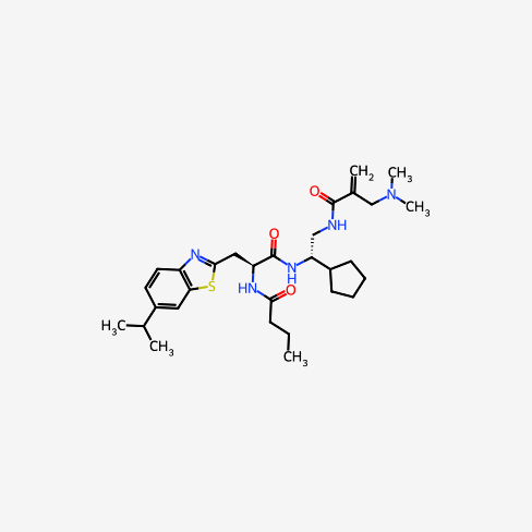 C=C(CN(C)C)C(=O)NC[C@@H](NC(=O)[C@H](Cc1nc2ccc(C(C)C)cc2s1)NC(=O)CCC)C1CCCC1